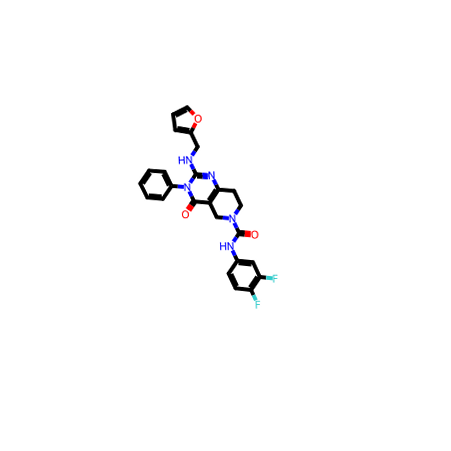 O=C(Nc1ccc(F)c(F)c1)N1CCc2nc(NCc3ccco3)n(-c3ccccc3)c(=O)c2C1